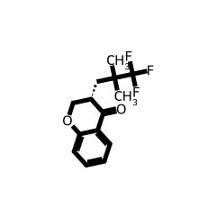 CC(C)(C[C@H]1COc2ccccc2C1=O)C(F)(F)F